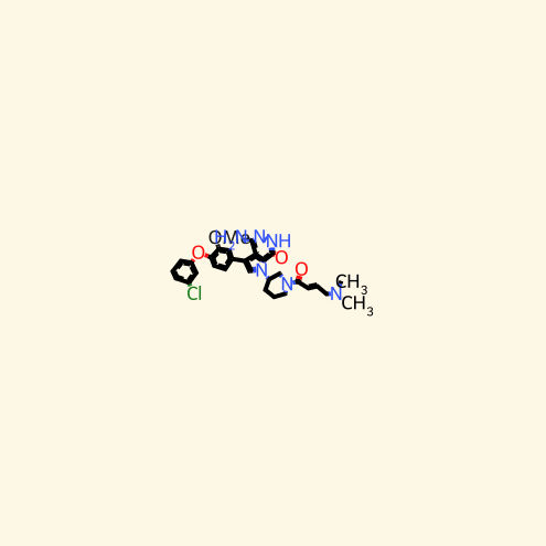 COc1cc(-c2cn(C3CCCN(C(=O)/C=C/CN(C)C)C3)c3c(=O)[nH]nc(N)c23)ccc1Oc1cccc(Cl)c1